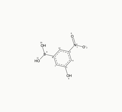 O=[N+]([O-])c1cc(O)cc(B(O)O)c1